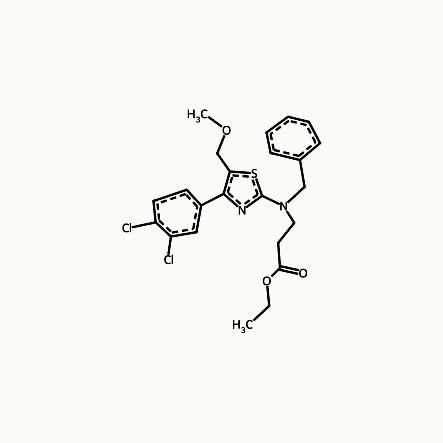 CCOC(=O)CCN(Cc1ccccc1)c1nc(-c2ccc(Cl)c(Cl)c2)c(COC)s1